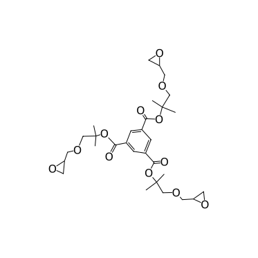 CC(C)(COCC1CO1)OC(=O)c1cc(C(=O)OC(C)(C)COCC2CO2)cc(C(=O)OC(C)(C)COCC2CO2)c1